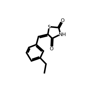 CCc1cccc(C=C2SC(=O)NC2=O)c1